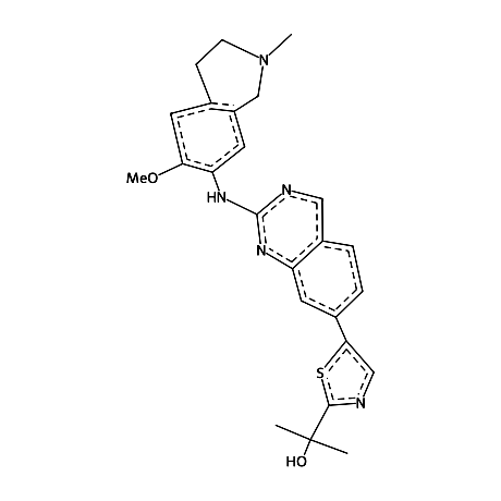 COc1cc2c(cc1Nc1ncc3ccc(-c4cnc(C(C)(C)O)s4)cc3n1)CN(C)CC2